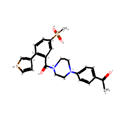 CC(=O)c1ccc(N2CCN(C(=O)c3cc(S(C)(=O)=O)ccc3-c3ccsc3)CC2)cc1